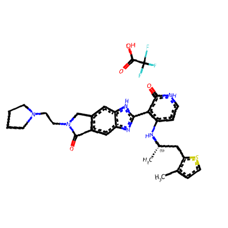 Cc1ccsc1C[C@H](C)Nc1cc[nH]c(=O)c1-c1nc2cc3c(cc2[nH]1)CN(CCN1CCCC1)C3=O.O=C(O)C(F)(F)F